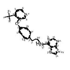 CC(F)(F)c1ccncc1Oc1ccc(CCNc2ncnc3scnc23)cc1